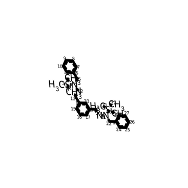 C[Si](C)(C)N(Cc1ccccc1)N=Cc1cccc(C=NN(Cc2ccccc2)[Si](C)(C)C)c1